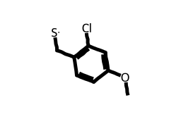 COc1ccc(C[S])c(Cl)c1